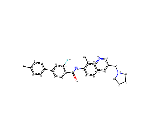 Cc1ccc(-c2ccc(C(=O)Nc3ccc4cc(CN5CCCC5)cnc4c3C)c(F)c2)cc1